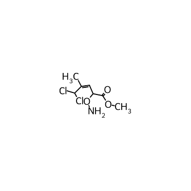 COC(=O)C(C=C(C)C(Cl)Cl)ON